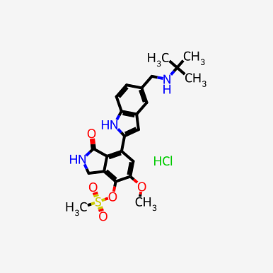 COc1cc(-c2cc3cc(CNC(C)(C)C)ccc3[nH]2)c2c(c1OS(C)(=O)=O)CNC2=O.Cl